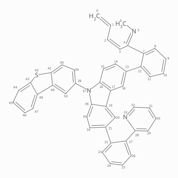 C=C/C=C\C(=N/C)c1ccccc1-c1ccc2c(c1)c1cc(-c3ccccc3-c3ccccn3)ccc1n2-c1ccc2sc3ccccc3c2c1